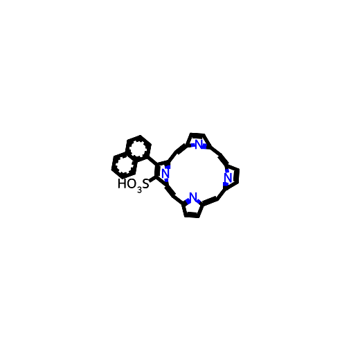 O=S(=O)(O)C1=C(c2cccc3ccccc23)C2=NC1=CC1=NC(=CC3=NC(=CC4=NC(=C2)C=C4)C=C3)C=C1